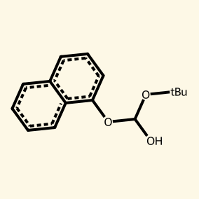 CC(C)(C)OC(O)Oc1cccc2ccccc12